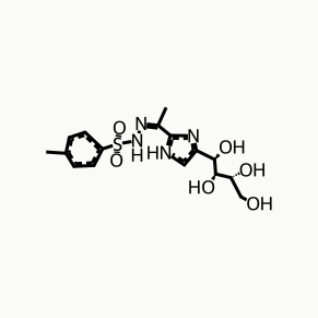 C/C(=N/NS(=O)(=O)c1ccc(C)cc1)c1nc([C@@H](O)[C@H](O)[C@H](O)CO)c[nH]1